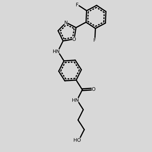 O=C(NCCCO)c1ccc(Nc2cnc(-c3c(F)cccc3F)o2)cc1